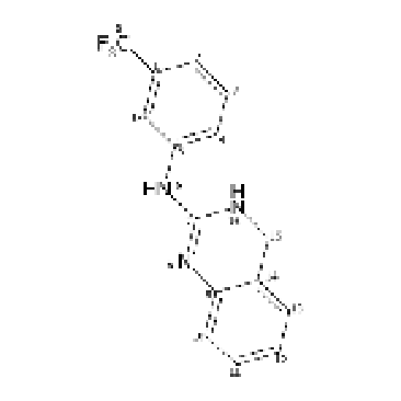 FC(F)(F)c1cccc(NC2=Nc3ccccc3CN2)c1